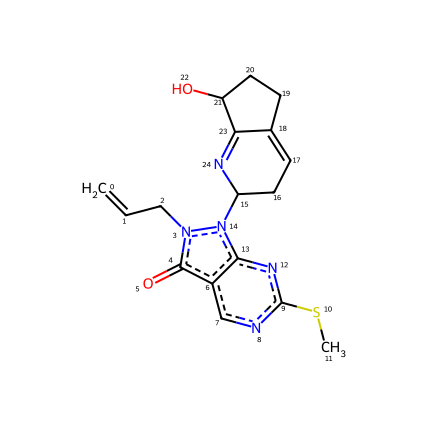 C=CCn1c(=O)c2cnc(SC)nc2n1C1CC=C2CCC(O)C2=N1